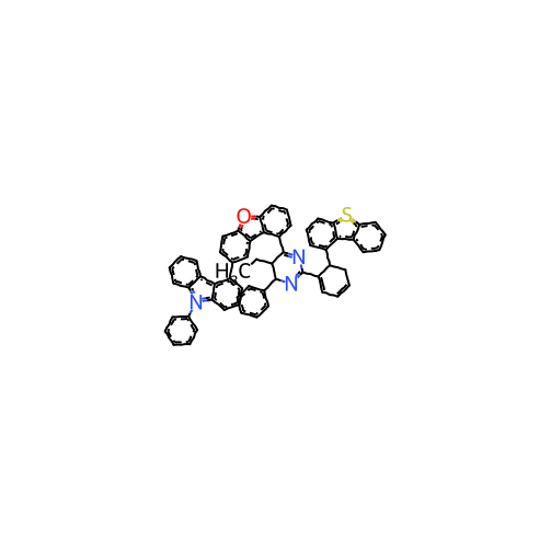 CCC1C(c2cccc3oc4ccc(-c5cccc6c5c5ccccc5n6-c5ccccc5)cc4c23)=NC(C2=CC=CCC2c2cccc3sc4ccccc4c23)=NC1c1ccccc1